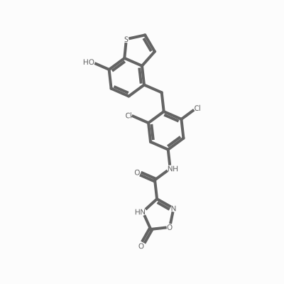 O=C(Nc1cc(Cl)c(Cc2ccc(O)c3sccc23)c(Cl)c1)c1noc(=O)[nH]1